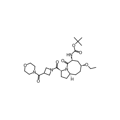 CCO[C@H]1CC[C@H]2CC[C@@H](C(=O)N3CC(C(=O)N4CCOCC4)C3)N2C(=O)[C@@H](NC(=O)OC(C)(C)C)C1